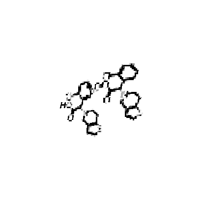 COC(=O)[C@H](c1ccccc1Cl)N1CCc2sccc2C1.O=C(O)[C@H](c1ccccc1Cl)N1CCc2sccc2C1